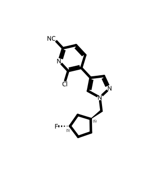 N#Cc1ccc(-c2cnn(C[C@H]3CC[C@H](F)C3)c2)c(Cl)n1